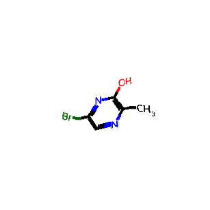 Cc1ncc(Br)nc1O